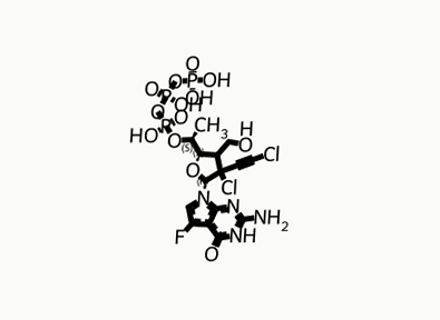 C[C@H](OP(=O)(O)OP(=O)(O)OP(=O)(O)O)[C@H]1O[C@@H](n2cc(F)c3c(=O)[nH]c(N)nc32)C(Cl)(C#CCl)C1CO